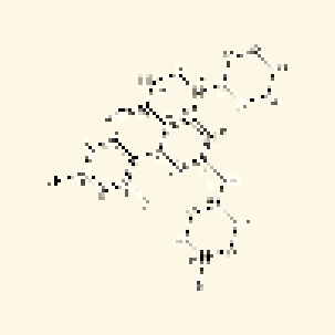 Cc1cc(F)ccc1-c1nc(NC2CCN(C)CC2)nc2c1C(=O)NCN2C1CCCCC1